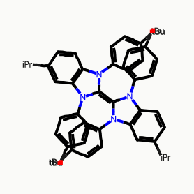 CC(C)c1ccc2c(c1)N(c1ccc(C(C)(C)C)cc1)/C(=C1/N(c3ccc(C(C)(C)C)cc3)c3ccc(C(C)C)cc3N1c1ccc(C(C)(C)C)cc1)N2c1ccc(C(C)(C)C)cc1